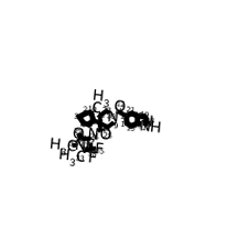 Cc1cccc2c1C1(CCN(C(=O)c3ccc4[nH]ncc4c3)CC1)C(=O)N2CC(=O)N(C)[C@@H](C)C(F)(F)F